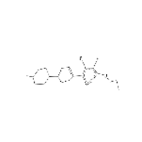 CCCOc1ccc(C2=CCC(C3CCC(C)CC3)CC2)c(F)c1F